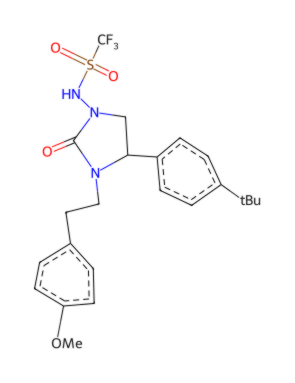 COc1ccc(CCN2C(=O)N(NS(=O)(=O)C(F)(F)F)CC2c2ccc(C(C)(C)C)cc2)cc1